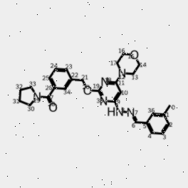 Cc1cccc(C=NNc2cc(N3CCOCC3)nc(OCc3cccc(C(=O)N4CCCC4)c3)n2)c1